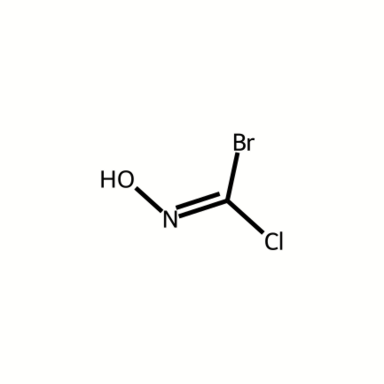 ON=C(Cl)Br